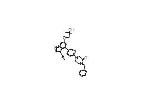 CC(C)(O)COc1cc(-c2ccc(N3CCN(Cc4ccccc4)C(=O)C3)nc2)c2c(C#N)cnn2c1